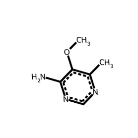 COc1c(C)ncnc1N